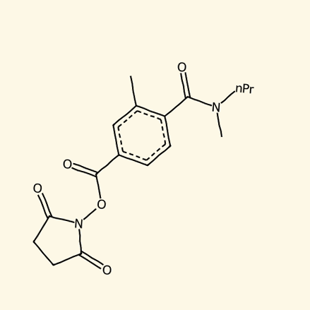 CCCN(C)C(=O)c1ccc(C(=O)ON2C(=O)CCC2=O)cc1C